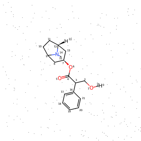 [2H]OCC(C(=O)O[C@H]1CC2CC[C@H](C1)N2C)c1ccccc1